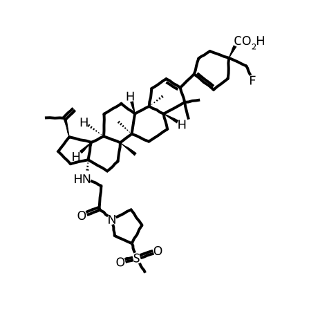 C=C(C)[C@@H]1CC[C@]2(NCC(=O)N3CCC(S(C)(=O)=O)C3)CC[C@]3(C)[C@H](CC[C@@H]4[C@@]5(C)CC=C(C6=CC[C@](CF)(C(=O)O)CC6)C(C)(C)[C@@H]5CC[C@]43C)[C@@H]12